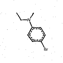 CCN(C)c1ccc(Br)cc1